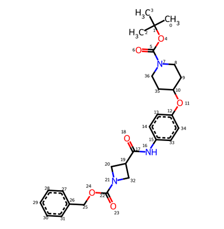 CC(C)(C)OC(=O)N1CCC(Oc2ccc(NC(=O)C3CN(C(=O)OCc4ccccc4)C3)cc2)CC1